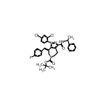 CC(NC(=O)c1nn(-c2ccc(Cl)cc2Cl)c2c1CCN(C(=O)OC(C)(C)C)C/C2=C\c1ccc(F)cc1)c1ccccc1